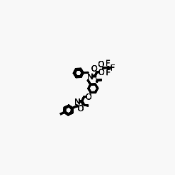 Cc1ccc(-c2nc(COC3CCCC(CN(Cc4ccccc4)[C@H](C(=O)OC(=O)C(F)(F)F)C(C)C)C3)c(C)o2)cc1